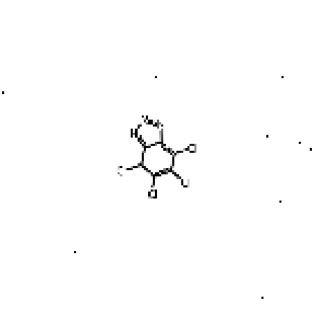 Cl[C]1C2=NN=NC2=C(Cl)C(Cl)=C1Cl